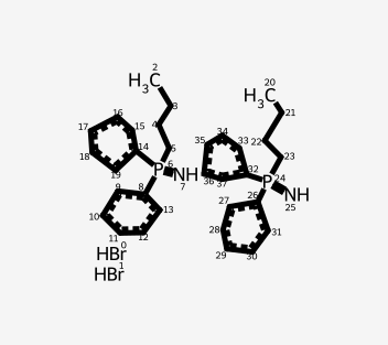 Br.Br.CCCCP(=N)(c1ccccc1)c1ccccc1.CCCCP(=N)(c1ccccc1)c1ccccc1